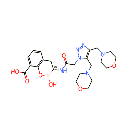 O=C(Cn1nnc(CN2CCOCC2)c1CN1CCOCC1)N[C@H]1Cc2cccc(C(=O)O)c2OB1O